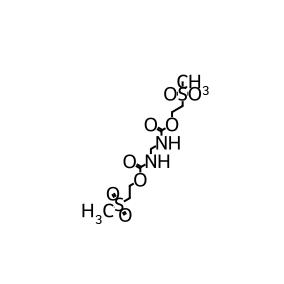 CS(=O)(=O)CCOC(=O)NCNC(=O)OCCS(C)(=O)=O